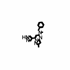 Cc1cc2nc(N(C)Cc3ccccc3)cc(-c3cn[nH]c3)n2n1